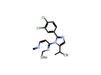 C=N/C=C\C(=N/CSC)n1c(C(C)C#N)cnc1-c1ccc(Cl)c(Cl)c1